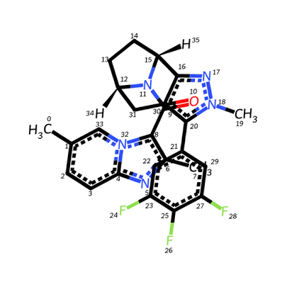 Cc1ccc2nc(C)c(C(=O)N3[C@H]4CC[C@@H]3c3nn(C)c(-c5cc(F)c(F)c(F)c5)c3C4)n2c1